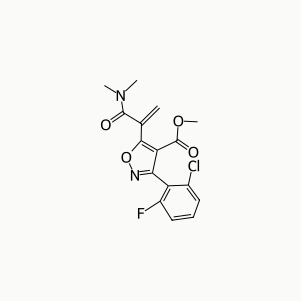 C=C(C(=O)N(C)C)c1onc(-c2c(F)cccc2Cl)c1C(=O)OC